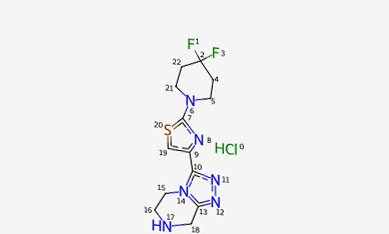 Cl.FC1(F)CCN(c2nc(-c3nnc4n3CCNC4)cs2)CC1